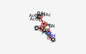 CC(=O)OC[C@H]1O[C@@H](OCCOP(=O)(OCCC#N)OC[C@H]2S[C@@H](n3ccc(NC(=O)c4ccccc4)nc3=O)[C@@H](F)[C@@H]2OC(=O)c2ccccc2)[C@H](OC(C)=O)[C@@H](OC(C)=O)[C@@H]1OC(C)=O